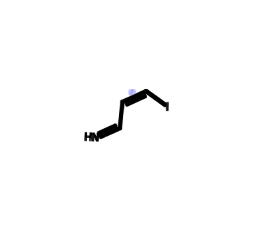 N=C/C=C\I